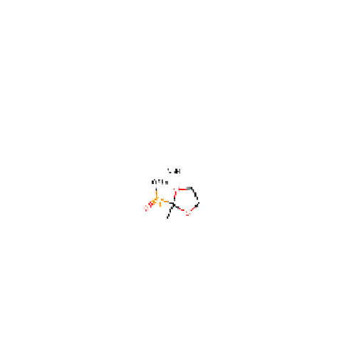 CO[PH](=O)C1(C)OCCO1.[NaH]